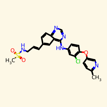 Cc1ccc(Oc2ccc(Nc3ncnc4ccc(/C=C/CNS(C)(=O)=O)cc34)cc2Cl)cn1